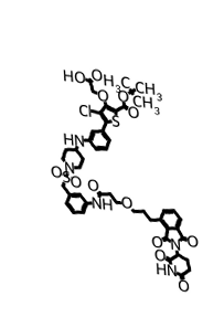 CC(C)(C)OC(=O)c1sc(-c2cccc(NC3CCN(S(=O)(=O)Cc4cccc(NC(=O)CCOCCCc5cccc6c5C(=O)N(C5CCC(=O)NC5=O)C6=O)c4)CC3)c2)c(Cl)c1OCC(=O)O